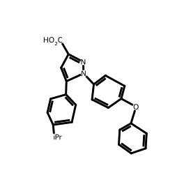 CC(C)c1ccc(-c2cc(C(=O)O)nn2-c2ccc(Oc3ccccc3)cc2)cc1